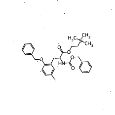 C[Si](C)(C)CCOC(=O)C(Cc1cc(I)ccc1OCc1ccccc1)NC(=O)OCc1ccccc1